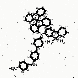 Cc1ccc(Nc2ccc(-c3ccc(N(c4ccc5c(c4)C(C)(C)c4ccccc4-5)c4cccc5c4-c4ccccc4C54c5ccccc5-c5ccccc54)cc3)cc2)cc1